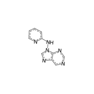 c1ccc(Nn2cnc3cncnc32)nc1